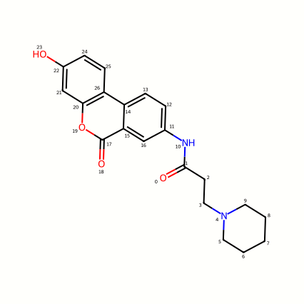 O=C(CCN1CCCCC1)Nc1ccc2c(c1)c(=O)oc1cc(O)ccc12